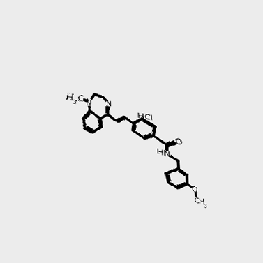 COc1cccc(CNC(=O)c2ccc(/C=C/C3=NCCN(C)c4ccccc43)cc2)c1.Cl